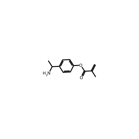 C=C(C)C(=O)Oc1ccc(C(C)N)cc1